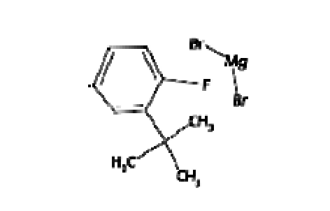 CC(C)(C)c1c[c]ccc1F.[Br][Mg][Br]